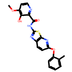 COc1ccnc(C(=O)Nc2nc3ccc(Oc4ccccc4C)nc3s2)c1O